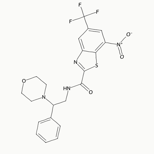 O=C(NCC(c1ccccc1)N1CCOCC1)c1nc2cc(C(F)(F)F)cc([N+](=O)[O-])c2s1